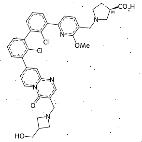 COc1nc(-c2cccc(-c3cccc(-c4ccn5c(=O)c(CN6CC(CO)C6)cnc5c4)c3Cl)c2Cl)ccc1CN1CC[C@@H](C(=O)O)C1